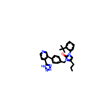 CCCc1cn(-c2ccccc2C(C)(C)C)c(=O)n1Cc1ccc(-c2cnccc2-c2nnn[nH]2)cc1